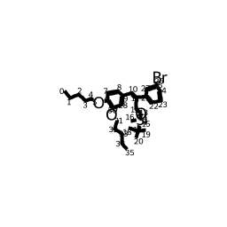 CCCCCOc1ccc(C=C(CO[Si](C)(C)C(C)(C)C)c2cccc(Br)c2)cc1OCCCCC